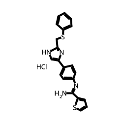 Cl.NC(=Nc1ccc(-c2c[nH]c(CSc3ccccc3)n2)cc1)c1cccs1